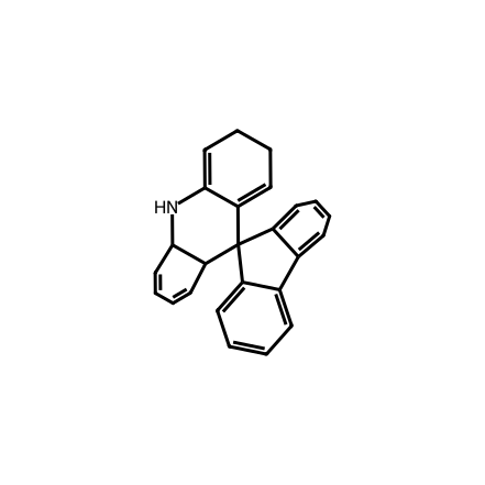 C1=CC2NC3=CCCC=C3C3(c4ccccc4-c4ccccc43)C2C=C1